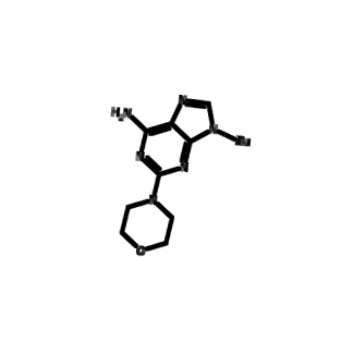 CCC(C)n1cnc2c(N)nc(N3CCOCC3)nc21